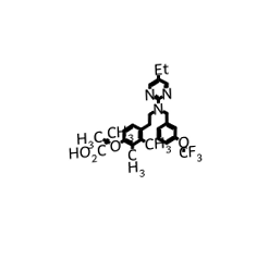 CCc1cnc(N(CCc2ccc(OC(C)(C)C(=O)O)c(C)c2C)Cc2cccc(OC(F)(F)F)c2)nc1